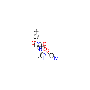 CC(C)C[C@H](NC(=O)c1ccc(N(C)C)cc1)C(=O)N1CC[C@@H]2[C@H]1C(=O)CN2C(=O)c1ccc(C(C)(C)C)cc1